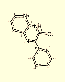 O=c1[nH]c2ncccc2nc1-c1ccccn1